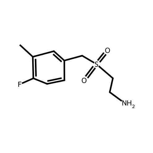 Cc1cc(CS(=O)(=O)CCN)ccc1F